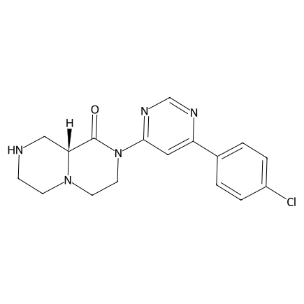 O=C1[C@H]2CNCCN2CCN1c1cc(-c2ccc(Cl)cc2)ncn1